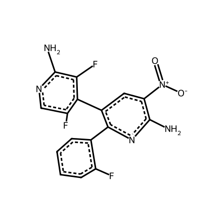 Nc1nc(-c2ccccc2F)c(-c2c(F)cnc(N)c2F)cc1[N+](=O)[O-]